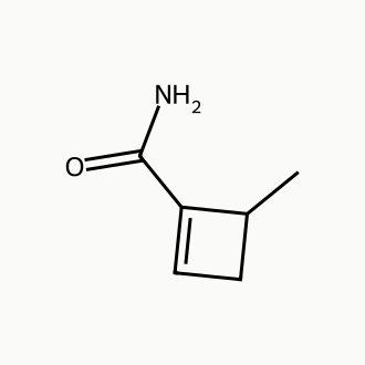 CC1CC=C1C(N)=O